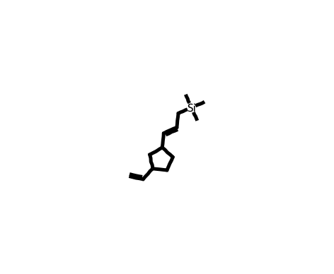 C=CC1CCC(C=CC[Si](C)(C)C)C1